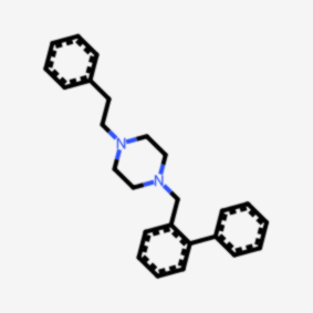 c1ccc(CCN2CCN(Cc3ccccc3-c3ccccc3)CC2)cc1